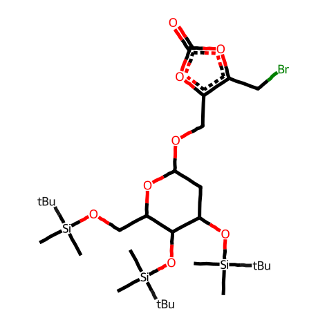 CC(C)(C)[Si](C)(C)OCC1OC(OCc2oc(=O)oc2CBr)CC(O[Si](C)(C)C(C)(C)C)C1O[Si](C)(C)C(C)(C)C